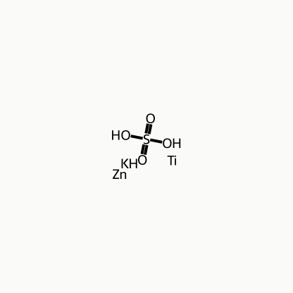 O=S(=O)(O)O.[KH].[Ti].[Zn]